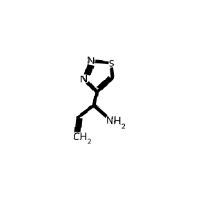 C=CC(N)c1csnn1